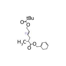 CC(C/C=C/COC(=O)C(C)(C)C)C(=O)OCC1=CC=CCC1